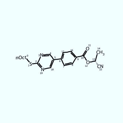 CCCCCCCCSc1ncc(-c2ccc(C(=O)O[C@H](C)C#N)cc2)cn1